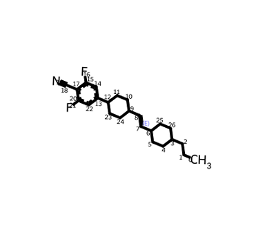 CCCC1CCC(/C=C/C2CCC(c3cc(F)c(C#N)c(F)c3)CC2)CC1